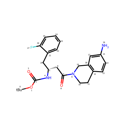 CC(C)(C)OC(=O)N[C@@H](CC(=O)N1CCc2ccc(N)cc2C1)Cc1ccccc1F